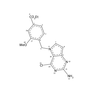 CCOC(=O)c1ccc(Cn2ccc3nc(N)nc(Cl)c32)c(OC)c1